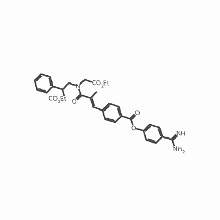 CCOC(=O)CN(CC(C(=O)OCC)c1ccccc1)C(=O)/C(C)=C/c1ccc(C(=O)Oc2ccc(C(=N)N)cc2)cc1